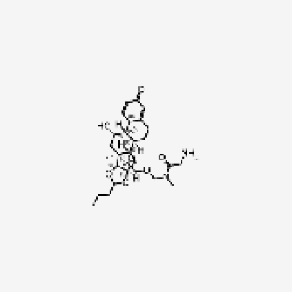 CCCC1O[C@@H]2C[C@H]3[C@@H]4CCC5=CC(=O)C=C[C@]5(C)[C@H]4[C@@H](O)C[C@]3(C)[C@]2(C(=O)COCN(C)C(=O)CN)O1